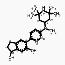 CN(c1ccc(-c2cc3c(cc2O)C(O)CC3)nn1)C1CC(C)(C)NC(C)(C)C1